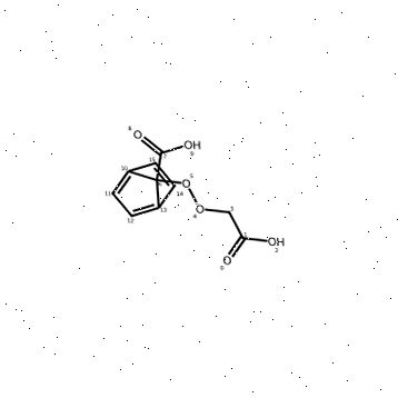 O=C(O)COOC1(C(=O)O)C2=CC=C1C=C2